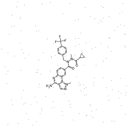 CN(C(=O)C1CC1)N(Cc1ccc(C(F)(F)F)cc1)C(=O)c1ccc2nc(N)c3cnn(C)c3c2c1